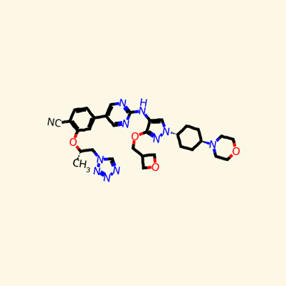 C[C@@H](Cn1cnnn1)Oc1cc(-c2cnc(Nc3cn([C@H]4CC[C@H](N5CCOCC5)CC4)nc3OCC3COC3)nc2)ccc1C#N